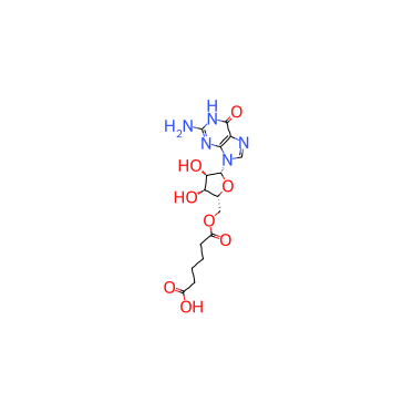 Nc1nc2c(ncn2[C@@H]2O[C@H](COC(=O)CCCCC(=O)O)[C@@H](O)[C@H]2O)c(=O)[nH]1